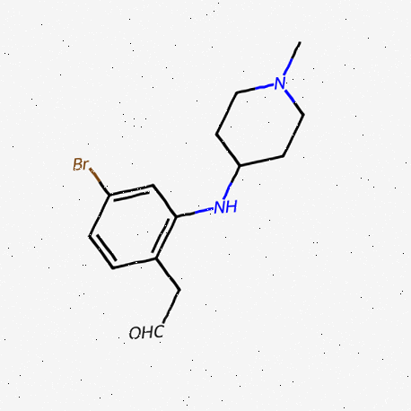 CN1CCC(Nc2cc(Br)ccc2CC=O)CC1